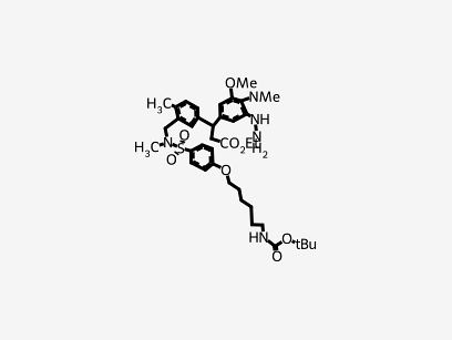 CCOC(=O)CC(c1ccc(C)c(CN(C)S(=O)(=O)c2ccc(OCCCCCCNC(=O)OC(C)(C)C)cc2)c1)c1cc(NN)c(NC)c(OC)c1